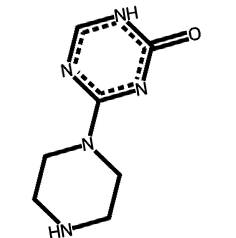 O=c1nc(N2CCNCC2)nc[nH]1